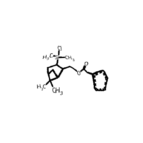 CC1(C)C2CC1C(COC(=O)c1ccccc1)C([Si](C)(C)Cl)C2